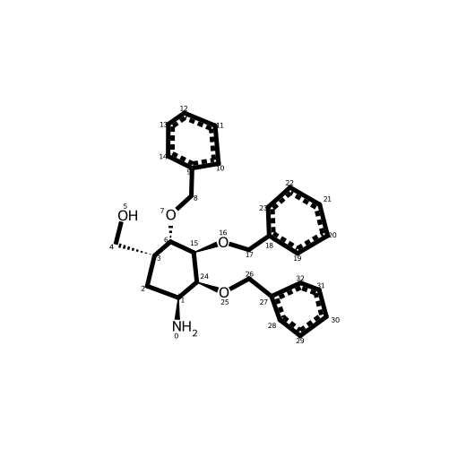 N[C@H]1C[C@H](CO)[C@H](OCc2ccccc2)[C@@H](OCc2ccccc2)[C@H]1OCc1ccccc1